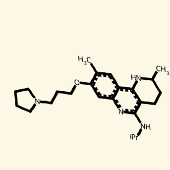 Cc1cc2c3c(c(NC(C)C)nc2cc1OCCCN1CCCC1)CCC(C)N3